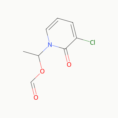 CC(OC=O)n1cccc(Cl)c1=O